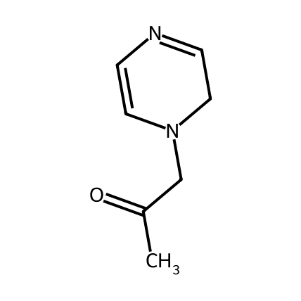 CC(=O)CN1C=CN=CC1